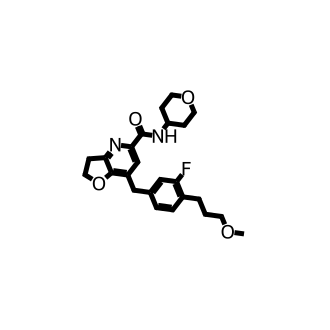 COCCCc1ccc(Cc2cc(C(=O)NC3CCOCC3)nc3c2OCC3)cc1F